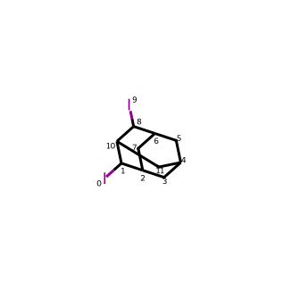 IC1C2CC3CC(C2)C(I)C1C3